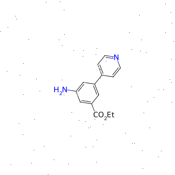 CCOC(=O)c1cc(N)cc(-c2ccncc2)c1